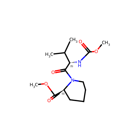 COC(=O)N[C@H](C(=O)N1CCCC[C@H]1C(=O)OC)C(C)C